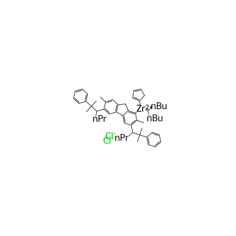 CCCC[C](CCCC)=[Zr+2]([C]1=CC=CC1)[c]1c(C)c(C(CCC)C(C)(C)c2ccccc2)cc2c1Cc1cc(C)c(C(CCC)C(C)(C)c3ccccc3)cc1-2.[Cl-].[Cl-]